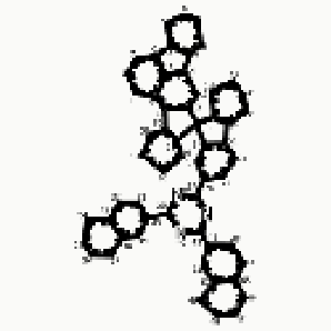 c1ccc2c(c1)-c1cccc3c4c(cc-2c13)C1(c2ccccc2-c2ccc(-c3nc(-c5ccc6ccccc6c5)nc(-c5ccc6ccccc6c5)n3)cc21)c1ccccc1-4